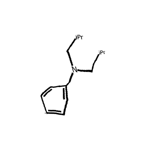 CC(C)CN(CC(C)C)c1cc[c]cc1